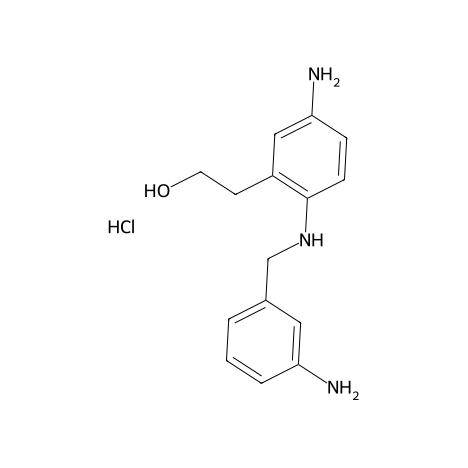 Cl.Nc1cccc(CNc2ccc(N)cc2CCO)c1